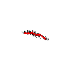 CCC(C)C(=O)OCCCCCCOc1ccc(C(=O)Oc2ccc(N=Nc3ccc(-c4ccc(N=Nc5ccc(OC(=O)c6ccc(O)cc6)c(C(F)(F)F)c5)cc4NC=O)c(C(N)=O)c3)cc2C)cc1